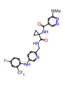 CNc1cc(C(=O)NC2(C(=O)NCc3ccc(Nc4ccc(F)cc4C(F)(F)F)cn3)CC2)cnn1